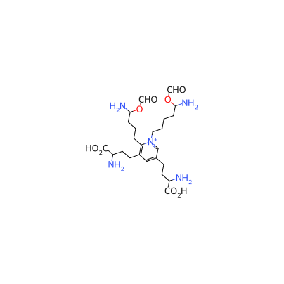 NC(CCCC[n+]1cc(CCC(N)C(=O)O)cc(CCC(N)C(=O)O)c1CCCC(N)OC=O)OC=O